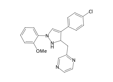 COc1ccccc1N1C=C(c2ccc(Cl)cc2)C(Cc2cnccn2)N1